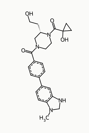 CN1CNc2cc(-c3ccc(C(=O)N4CCN(C(=O)C5(O)CC5)[C@@H](CCO)C4)cc3)ccc21